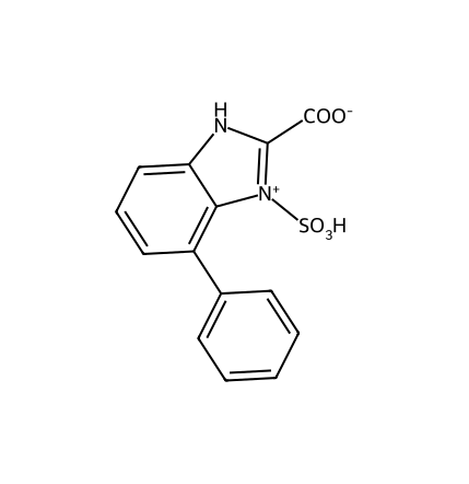 O=C([O-])c1[nH]c2cccc(-c3ccccc3)c2[n+]1S(=O)(=O)O